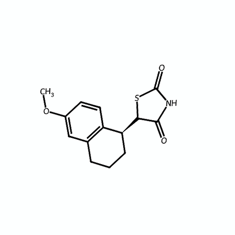 COc1ccc2c(c1)CCC[C@@H]2C1SC(=O)NC1=O